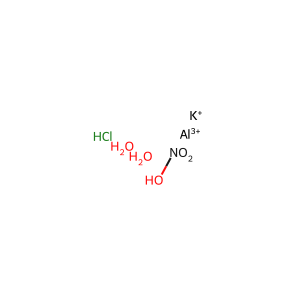 Cl.O.O.O=[N+]([O-])O.[Al+3].[K+]